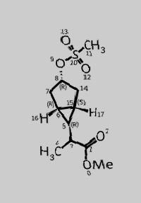 COC(=O)C(C)[C@H]1[C@@H]2C[C@H](OS(C)(=O)=O)C[C@@H]21